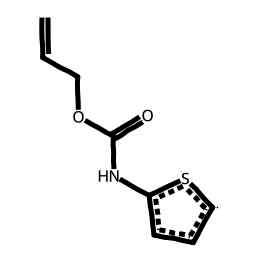 C=CCOC(=O)Nc1cc[c]s1